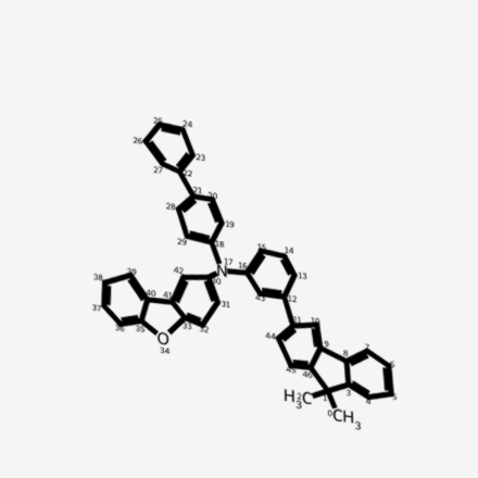 CC1(C)c2ccccc2-c2cc(-c3cccc(N(c4ccc(-c5ccccc5)cc4)c4ccc5oc6ccccc6c5c4)c3)ccc21